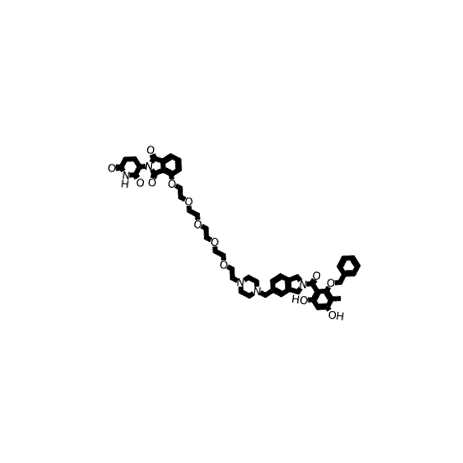 Cc1c(O)cc(O)c(C(=O)N2Cc3ccc(CN4CCN(CCOCCOCCOCCOCCOc5cccc6c5C(=O)N(C5CCC(=O)NC5=O)C6=O)CC4)cc3C2)c1OCc1ccccc1